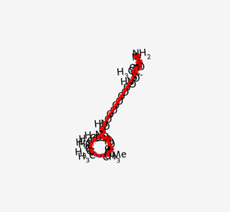 CO[C@H]1C[C@@H]2CCCC(O2)C(=O)C(=O)N2CCCC[C@H]2C(=O)O[C@H]([C@H](N)CC2CCC(OC(=O)NCCOCCOCCOCCOCCOCCOCCOCCOCCC(=O)NCC[S+]([O-])c3ccc(C(=O)N4CCOc5ccc(-c6ccc(N)nc6)cc5C4)c(C)c3)CC2)CC[C@H](C)/C=C(\C)[C@@H](O)CC(=O)[C@H](C)C[C@H](C)/C=C/C=C/C=C/1C